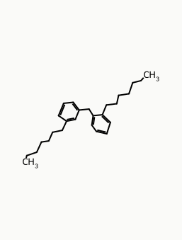 CCCCCCCc1cccc(Cc2ccccc2CCCCCCC)c1